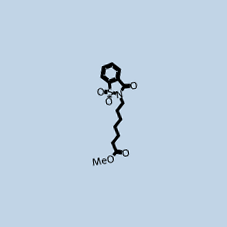 COC(=O)CCCCCCN1C(=O)c2ccccc2S1(=O)=O